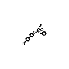 C=CC[C@@H]1C[C@@H](COc2ccc(-c3ccc(C#N)cc3)cc2)N(Cc2ccccc2)C1=O